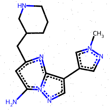 Cn1cc(-c2cnn3c(N)cc(CC4CCCNC4)nc23)cn1